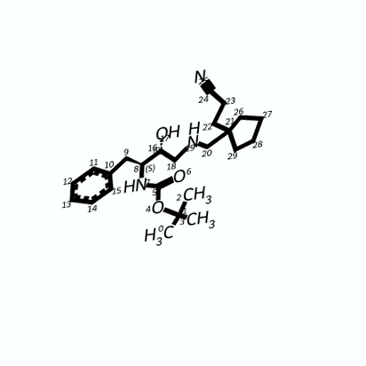 CC(C)(C)OC(=O)N[C@@H](Cc1ccccc1)[C@H](O)CNCC1(CCC#N)CCCC1